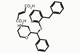 O=C(O)C=CC(=O)O.c1ccc(Cc2cccnc2S[C@@H](c2ccccc2)[C@@H]2CNCCO2)cc1